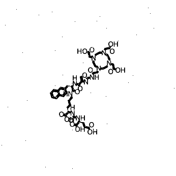 O=C(O)CC[C@H](NC(=O)N[C@@H](CCCCNC(=O)[C@H](Cc1ccc2ccccc2c1)NC(=O)c1coc(NC(=O)CN2CCN(CC(=O)O)CCN(CC(=O)O)CCN(CC(=O)O)CC2)n1)C(=O)O)C(=O)O